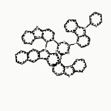 c1ccc(-n2c3ccccc3c3c(-c4nc(-c5ccc6oc7ccccc7c6c5-n5c6ccccc6c6cc7ccccc7cc65)nc(-c5cccc6oc7ccccc7c56)n4)cccc32)cc1